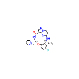 C[C@H]1Nc2ccn3ncc(c3n2)C(=O)NC[C@@H](CN2CCCC2)Oc2ccc(F)cc21